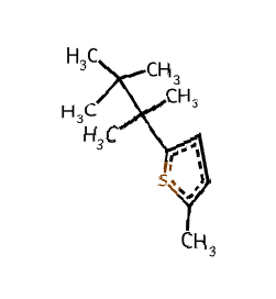 Cc1ccc(C(C)(C)C(C)(C)C)s1